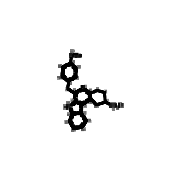 CCOC(=O)C1CCc2nc(Cc3ccc(OC)cc3)c3[nH]c4ccccc4c3c2C1